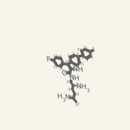 Cc1ccc(-c2ccc3c(-c4ccc(F)cc4)c(C(=O)NC[C@@H](N)CCC(C)N)[nH]c3c2)cc1